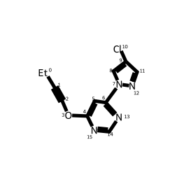 CCC#COc1cc(-n2cc(Cl)cn2)ncn1